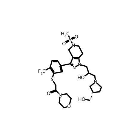 CS(=O)(=O)N1CCc2c(c(-c3ccc(C(F)(F)F)c(SCC(=O)N4CCOCC4)c3)nn2CC(O)CN2CC[C@H](CO)C2)C1